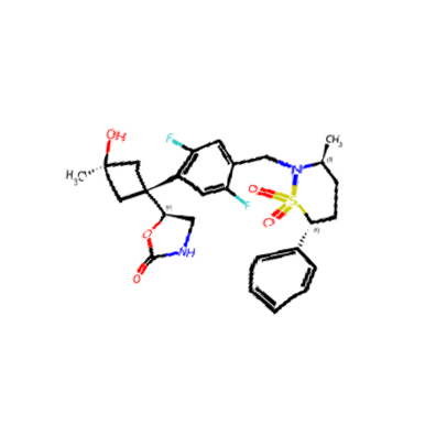 C[C@H]1CC[C@H](c2ccccc2)S(=O)(=O)N1Cc1cc(F)c([C@]2([C@H]3CNC(=O)O3)C[C@](C)(O)C2)cc1F